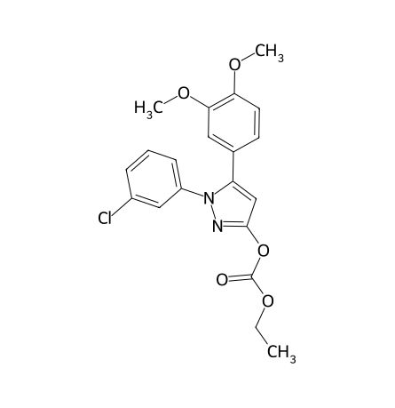 CCOC(=O)Oc1cc(-c2ccc(OC)c(OC)c2)n(-c2cccc(Cl)c2)n1